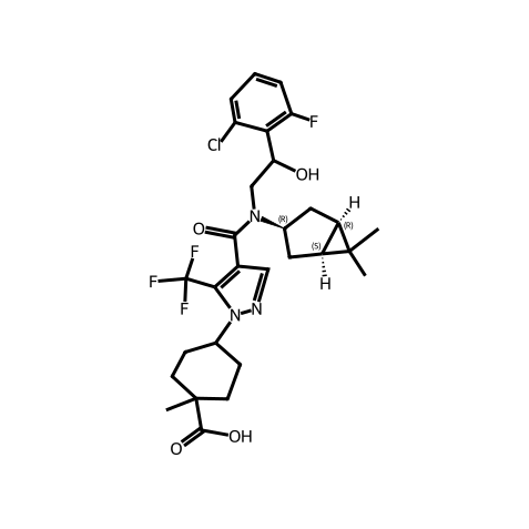 CC1(C(=O)O)CCC(n2ncc(C(=O)N(CC(O)c3c(F)cccc3Cl)[C@H]3C[C@@H]4[C@H](C3)C4(C)C)c2C(F)(F)F)CC1